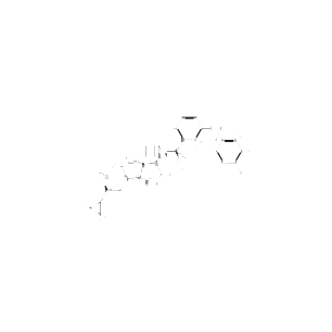 Cc1ccc(Oc2cccc(C(=O)NC3COC4C3OC[C@@H]4CC(=O)C3CC3)c2)cc1